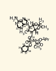 CC(C)OC(=O)[C@H](C)N[P@](=O)(OC[C@H]1C(C)[C@@H](n2cnc3c(N)ncnc32)[C@@H]2OC(C)(C)O[C@@H]21)Oc1ccccc1